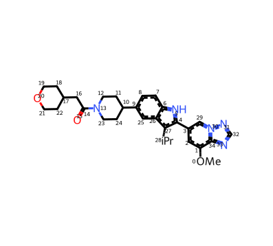 COc1cc(-c2[nH]c3ccc(C4CCN(C(=O)CC5CCOCC5)CC4)cc3c2C(C)C)cn2ncnc12